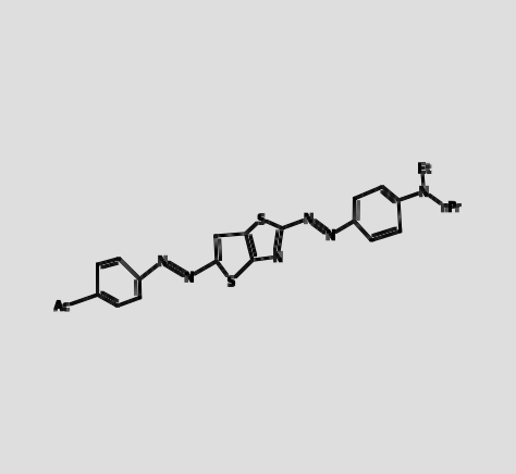 CCCN(CC)c1ccc(N=Nc2nc3sc(N=Nc4ccc(C(C)=O)cc4)cc3s2)cc1